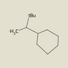 [CH2]C(C1CCCCC1)C(C)(C)C